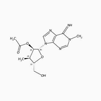 CC(=O)O[C@@H]1[C@H](C)[C@@H](CO)O[C@H]1n1cnc2c(=N)n(C)cnc21